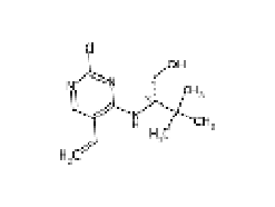 C=Cc1cnc(Cl)nc1N[C@H](CO)C(C)(C)C